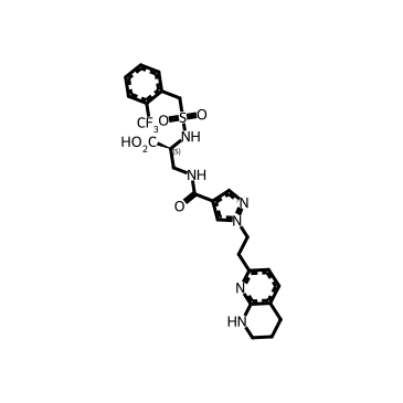 O=C(NC[C@H](NS(=O)(=O)Cc1ccccc1C(F)(F)F)C(=O)O)c1cnn(CCc2ccc3c(n2)NCCC3)c1